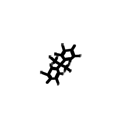 Cc1c(F)c(F)c(C(c2c(F)c(F)c(C)c(F)c2F)(C(F)(F)F)C(F)(F)F)c(F)c1F